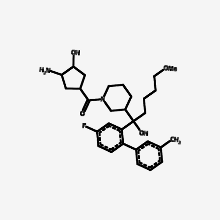 COCCCCC(O)(c1cc(F)ccc1-c1cccc(C)c1)C1CCCN(C(=O)C2CC(N)C(O)C2)C1